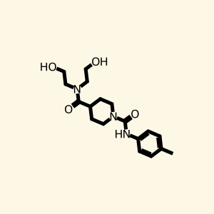 Cc1ccc(NC(=O)N2CCC(C(=O)N(CCO)CCO)CC2)cc1